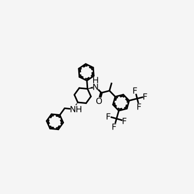 CC(C(=O)N[C@]1(c2ccccc2)CC[C@@H](NCc2ccccc2)CC1)c1cc(C(F)(F)F)cc(C(F)(F)F)c1